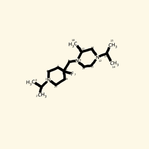 CC(C)N1CCC(F)(CN2CCN(C(C)C)CC2C)CC1